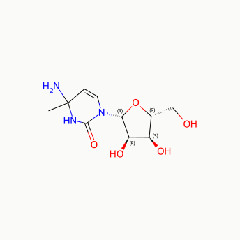 CC1(N)C=CN([C@@H]2O[C@H](CO)[C@@H](O)[C@H]2O)C(=O)N1